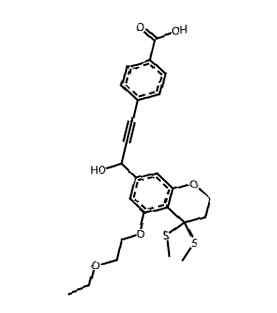 CCOCCOc1cc(C(O)C#Cc2ccc(C(=O)O)cc2)cc2c1C(SC)(SC)CCO2